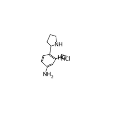 Cl.Cl.Nc1ccc(C2CCCN2)c(F)c1